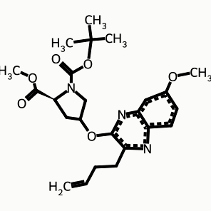 C=CCCc1nc2ccc(OC)cc2nc1OC1C[C@@H](C(=O)OC)N(C(=O)OC(C)(C)C)C1